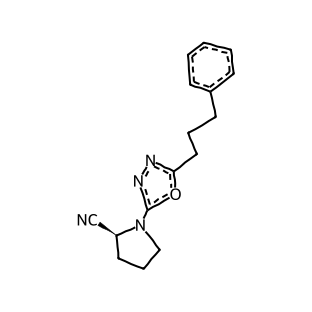 N#C[C@@H]1CCCN1c1nnc(CCCc2ccccc2)o1